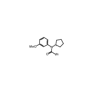 COc1cccc(N(C(=O)C(C)C)N2CCCC2)c1